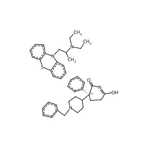 CCN(CC)C(C)CN1c2ccccc2Sc2ccccc21.O=C1N=C(O)CC[C@@]1(c1ccccc1)C1CCN(Cc2ccccc2)CC1